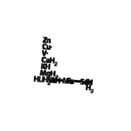 [AlH2][Mo].[CaH2].[Cu].[Fe][SeH].[KH].[LiH].[MgH2].[NaH].[SrH2].[V].[Zn]